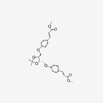 COC(=O)/C=C/c1ccc(OC[C@@H]2OC(C)(C)O[C@H]2COc2ccc(/C=C/C(=O)OC)cc2)cc1